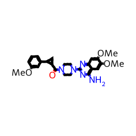 COc1cccc(C2CC2C(=O)N2CCN(c3nc(N)c4cc(OC)c(OC)cc4n3)CC2)c1